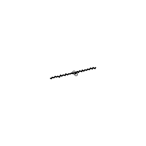 CCCCCCCCCCCCC/C=C/C(=O)O/C=C/CCCCCCCCCCCCCCCC